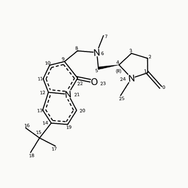 C=C1CC[C@H](CN(C)Cc2ccc3cc(C(C)(C)C)ccn3c2=O)N1C